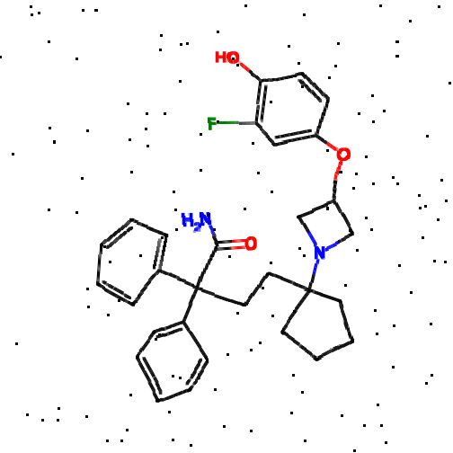 NC(=O)C(CCC1(N2CC(Oc3ccc(O)c(F)c3)C2)CCCC1)(c1ccccc1)c1ccccc1